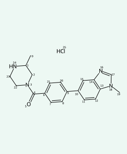 CC1CN(C(=O)c2ccc(-c3ccc4c(c3)ncn4C)cc2)CCN1.Cl